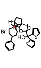 C[N+]1([C@H]2[C@H]3CC[C@@H]2[C@H](OC(=O)C(O)(c2cccs2)c2cccs2)C3)CCC(c2ccccc2)CC1.[Br-]